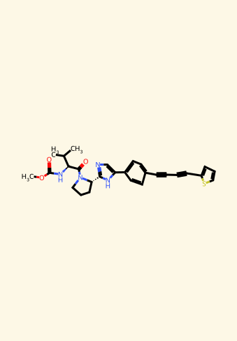 COC(=O)N[C@H](C(=O)N1CCC[C@H]1c1ncc(-c2ccc(C#CC#Cc3cccs3)cc2)[nH]1)C(C)C